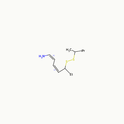 CCC(/C=C\C=C/N)SSC(C)C(C)C